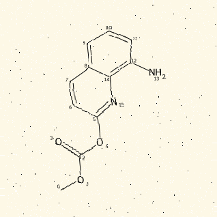 COC(=O)Oc1ccc2cccc(N)c2n1